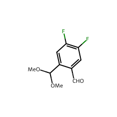 COC(OC)c1cc(F)c(F)cc1C=O